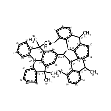 CC(C)c1cccc2c1N1c3c(ccc4c3N(c3c(C(C)C)cccc3C4C)C1c1cc3c4c(c1)C(C)(C)c1ccccc1N4c1ccccc1C3(C)C)C2C